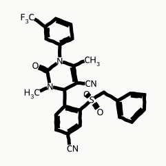 CC1=C(C#N)C(c2ccc(C#N)cc2S(=O)(=O)Cc2ccccc2)N(C)C(=O)N1c1cccc(C(F)(F)F)c1